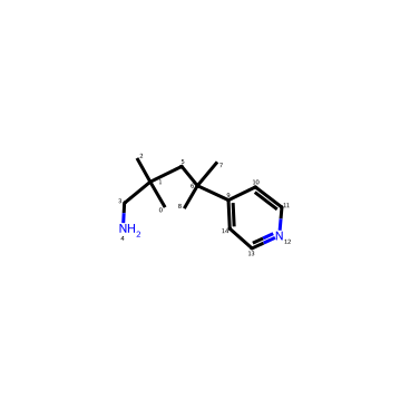 CC(C)(CN)CC(C)(C)c1ccncc1